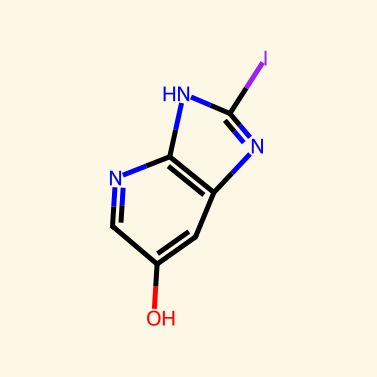 Oc1cnc2[nH]c(I)nc2c1